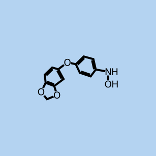 ONc1ccc(Oc2ccc3c(c2)OCO3)cc1